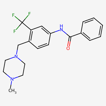 CN1CCN(Cc2ccc(NC(=O)c3ccccc3)cc2C(F)(F)F)CC1